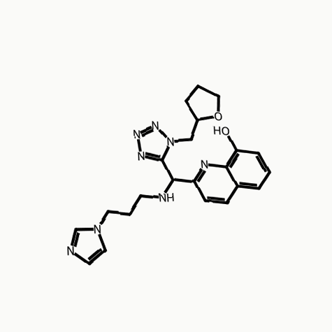 Oc1cccc2ccc(C(NCCCn3ccnc3)c3nnnn3CC3CCCO3)nc12